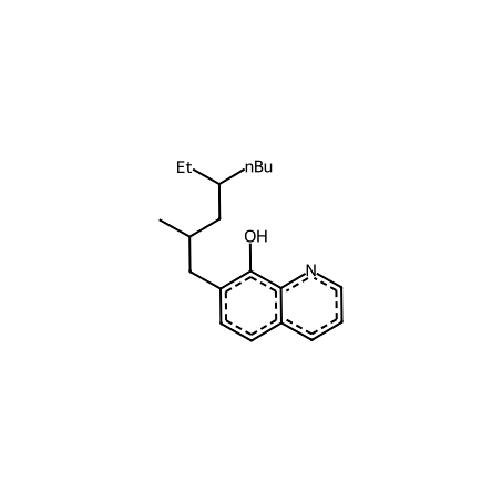 CCCCC(CC)CC(C)Cc1ccc2cccnc2c1O